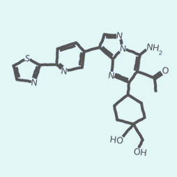 CC(=O)c1c(C2CCC(O)(CO)CC2)nc2c(-c3ccc(-c4nccs4)nc3)cnn2c1N